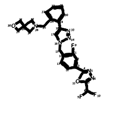 Fc1cc(-c2nnc(C(F)F)o2)ccc1Cn1cc(-c2ccccc2CN2CC3(COC3)C2)nn1